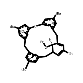 CC(C)O[C@H]1C2=CC(C(C)(C)C)=CC1Cc1cc(C(C)(C)C)cc(c1O)Cc1cc(C(C)(C)C)cc(c1O)Cc1cc(C(C)(C)C)cc(c1O)C2